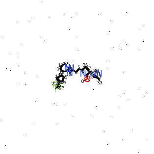 COc1nc(/C=C/c2nc3n(n2)CCC[C@H]3c2ccc(C(F)(F)F)cc2)ccc1-n1cnc(C)c1